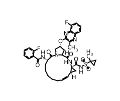 Cc1nc2cccc(F)c2nc1O[C@@H]1C[C@H]2C(=O)N[C@]3(C(=O)NS(=O)(=O)C4(C)CC4)C[C@H]3/C=C\CCCCC[C@H](NC(=O)c3ccccc3F)C(=O)N2C1